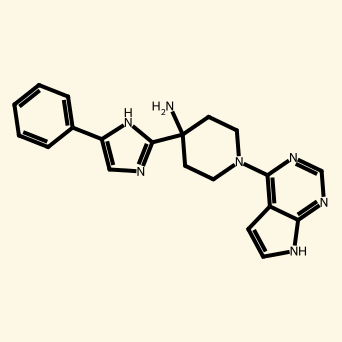 NC1(c2ncc(-c3ccccc3)[nH]2)CCN(c2ncnc3[nH]ccc23)CC1